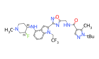 Cc1c(C(=O)NCc2nc(-c3cc4c(N[C@@H]5CCN(C)C[C@@H]5F)cccc4n3CC(F)(F)F)no2)cnn1C(C)(C)C